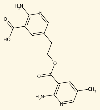 Cc1cnc(N)c(C(=O)OCCc2cnc(N)c(C(=O)O)c2)c1